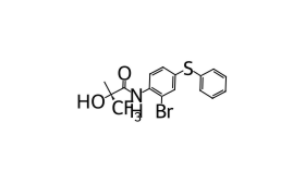 C[C@@](O)(C(=O)Nc1ccc(Sc2ccccc2)cc1Br)C(F)(F)F